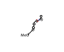 COCCCCCCOc1ccc(-c2ccc(Cc3ccc(/C=C/C(=O)c4ccccc4)cc3)cc2)cc1